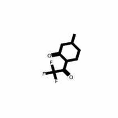 CC1CCC(C(=O)C(F)(F)F)C(=O)C1